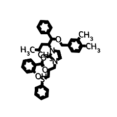 Cc1ccc(COC(c2ccccc2)C(CC(C)C)N2C=CN(CCCSc3ccccc3)C2OC(=O)c2ccccc2O)cc1C